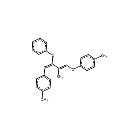 COc1ccc(/N=C(Oc2ccccc2)\C(C)=C\Oc2ccc(C)cc2)cc1